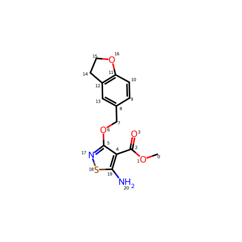 COC(=O)c1c(OCc2ccc3c(c2)CCO3)nsc1N